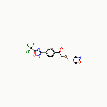 O=C(CSCc1cnoc1)c1ccc(-c2noc(C(F)(F)Cl)n2)cc1